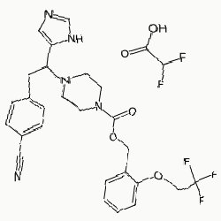 N#Cc1ccc(CC(c2cnc[nH]2)N2CCN(C(=O)OCc3ccccc3OCC(F)(F)F)CC2)cc1.O=C(O)C(F)F